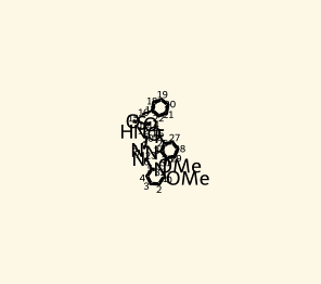 COc1cccc(-c2nnc(C(=O)NS(=O)(=O)Cc3ccccc3)n2-c2c(F)cccc2OC)n1